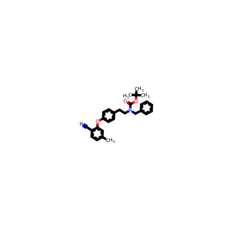 Cc1ccc(C#N)c(Oc2ccc(CCN(Cc3ccccc3)C(=O)OC(C)(C)C)cc2)c1